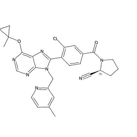 Cc1ccnc(Cn2c(-c3ccc(C(=O)N4CCC[C@H]4C#N)cc3Cl)nc3c(OC4(C)CC4)ncnc32)c1